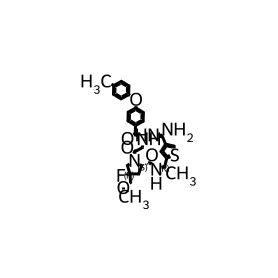 COC[C@@]1(F)C[C@@H](C(=O)N[C@H](C)c2cc(C(=N)N)cs2)N(C(=O)CNC(=O)c2ccc(Oc3ccc(C)cc3)cc2)C1